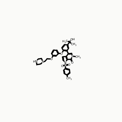 Cc1ccc(S(=O)(=O)n2ccc3c(-c4cc(C(C)(C)O)ccc4Oc4cccc(OCCN5CCNCC5)c4)cn(C)c(=O)c32)cc1